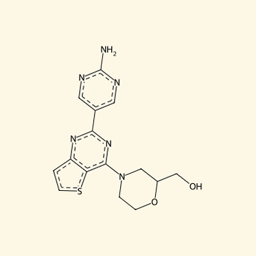 Nc1ncc(-c2nc(N3CCOC(CO)C3)c3sccc3n2)cn1